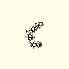 O=S(=O)(c1ccccc1)c1ccc(N[C@@H]2C[C@@H]3CN(Cc4ccc5c(c4)OC(F)(F)O5)C[C@@H]3C2)nn1